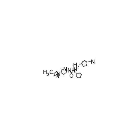 Cc1cnn(-c2ccc(NC(=O)C(NCCc3ccc(C#N)cc3)c3ccccc3)nc2)c1